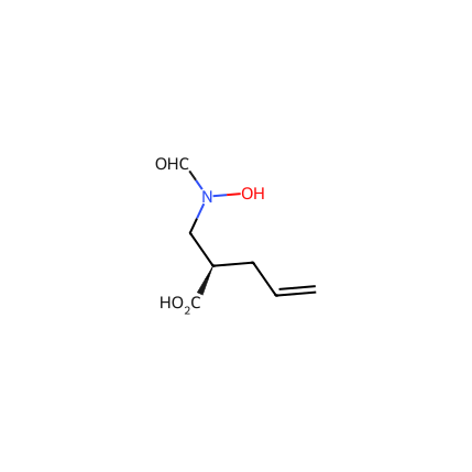 C=CC[C@H](CN(O)C=O)C(=O)O